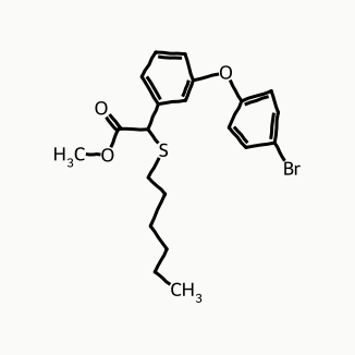 CCCCCCSC(C(=O)OC)c1cccc(Oc2ccc(Br)cc2)c1